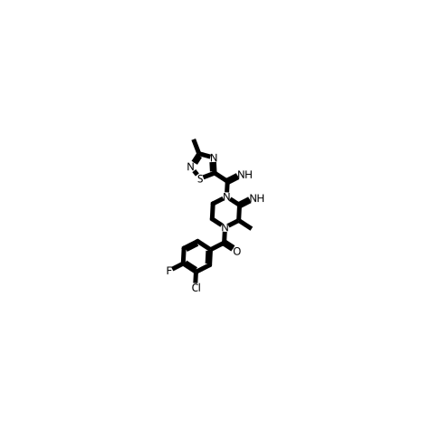 Cc1nsc(C(=N)N2CCN(C(=O)c3ccc(F)c(Cl)c3)C(C)C2=N)n1